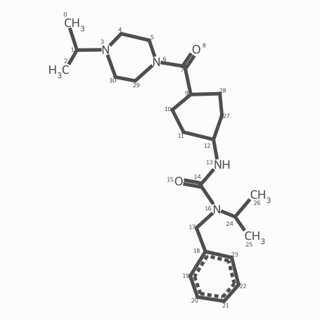 CC(C)N1CCN(C(=O)C2CCC(NC(=O)N(Cc3ccccc3)C(C)C)CC2)CC1